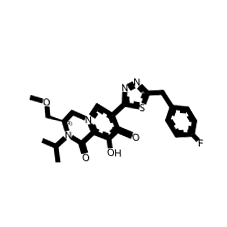 COC[C@H]1Cn2cc(-c3nnc(Cc4ccc(F)cc4)s3)c(=O)c(O)c2C(=O)N1C(C)C